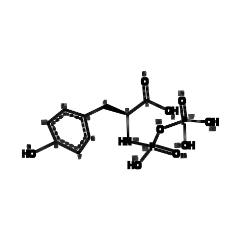 O=C(O)[C@H](Cc1ccc(O)cc1)NP(=O)(O)OP(=O)(O)O